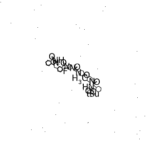 CC(C)(C)OC(=O)N[C@@H](C(=O)N1CCC(C)(OC2CCN(CC(=O)N3CCN(C(=O)c4cc(Cc5n[nH]c(=O)c6ccccc56)ccc4F)CC3)CC2)CC1)C1CCCCC1